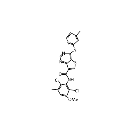 COc1cc(C)c(Cl)c(NC(=O)c2csc3c(Nc4cc(C)ccn4)ncnc23)c1Cl